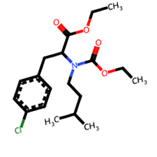 CCOC(=O)C(Cc1ccc(Cl)cc1)N(CCC(C)C)C(=O)OCC